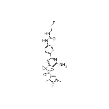 CC1NN(C)C=C1S(=O)(=O)C1(c2cc(N)nc(-c3ccc(NC(=O)NCCF)cc3)n2)CC1